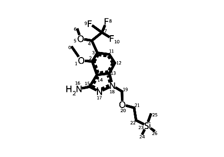 COc1c(C(OC)C(F)(F)F)ccc2c1c(N)nn2COCC[Si](C)(C)C